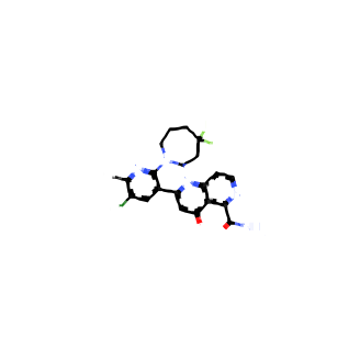 CC(C)(C)c1nc(N2CCCC(F)(F)CC2)c(-c2cc(=O)c3c(C(N)=O)nccc3[nH]2)cc1Cl